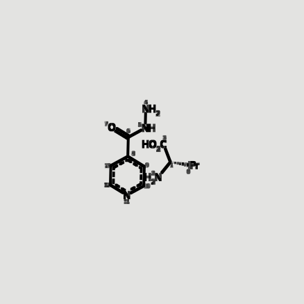 CC(C)[C@H](N)C(=O)O.NNC(=O)c1ccncc1